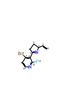 C=CC1CCC(c2c(Br)ccnc2F)=N1